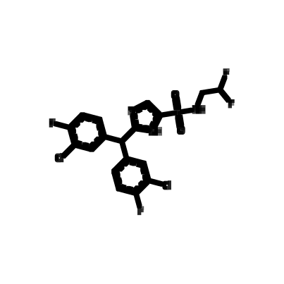 O=S(=O)(NCC(F)F)c1cnc(C(c2ccc(F)c(Cl)c2)c2ccc(F)c(Cl)c2)[nH]1